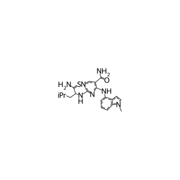 CC(C)CC(Nc1ncc(C(N)=O)c(Nc2cccc3c2ccn3C)n1)C(N)=S